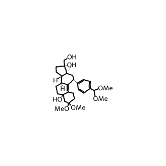 COC(OC)c1ccc([C@H]2C[C@@]3(C)[C@@H](CC[C@@]3(O)CO)[C@@H]3CC[C@@]4(O)CC(OC)(OC)CCC4=C32)cc1